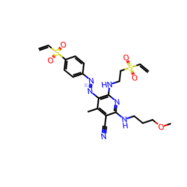 C=CS(=O)(=O)CCNc1nc(NCCCOC)c(C#N)c(C)c1/N=N/c1ccc(S(=O)(=O)C=C)cc1